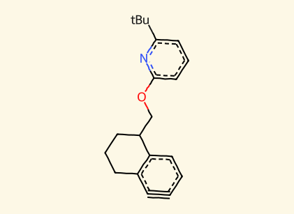 CC(C)(C)c1cccc(OCC2CCCc3c#cccc32)n1